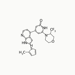 CC1=CC=C[SH]1c1cc2c(-c3cc(N4CCOCC4C(F)(F)F)[nH]c(=O)c3)ccnc2[nH]1